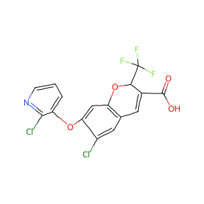 O=C(O)C1=Cc2cc(Cl)c(Oc3cccnc3Cl)cc2OC1C(F)(F)F